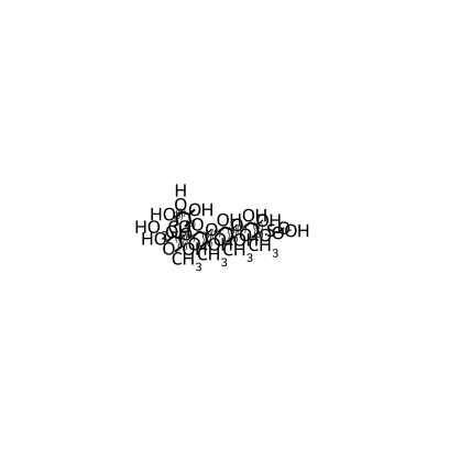 CC1OC(O)C(O)[C@@H](O[C@@H]2OC(C)[C@@H](O)[C@H](O[C@@H]3OC(C)[C@@H](O)[C@H](O[C@@H]4OC(C)[C@@H](OSOOO)[C@H](O)C4O)C3O)C2O[C@H]2OC(C(=O)O)[C@@H](O)[C@@H](O)C2O)[C@@H]1O